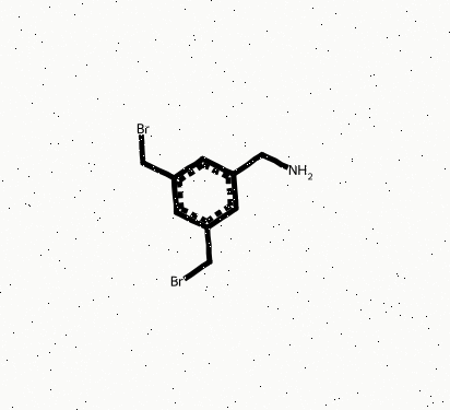 NCc1cc(CBr)cc(CBr)c1